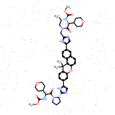 CCCN(Cc1ncc(-c2ccc3c4c(ccc3c2)Oc2cc(-c3cnc([C@@H]5CCCN5C(=O)C(NC(=O)OC)C5CCOCC5)[nH]3)ccc2C4(C)C)[nH]1)C(=O)[C@@H](NC(=O)OC)C1CCOCC1